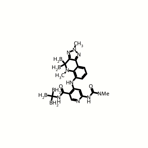 BC(B)(B)NC(=O)c1cnc(NC(=O)NC)cc1Nc1cccc2c1N(C)C(B)(B)c1nn(C)nc1-2